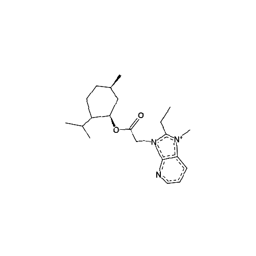 CCc1n(CC(=O)O[C@@H]2C[C@H](C)CCC2C(C)C)c2ncccc2[n+]1C